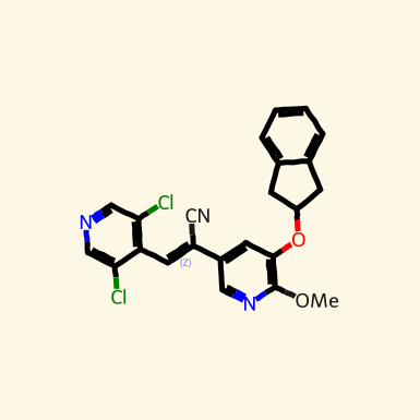 COc1ncc(/C(C#N)=C/c2c(Cl)cncc2Cl)cc1OC1Cc2ccccc2C1